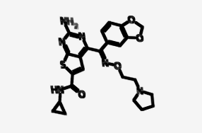 Nc1nc(C(=NOCCN2CCCC2)c2ccc3c(c2)OCO3)c2cc(C(=O)NC3CC3)sc2n1